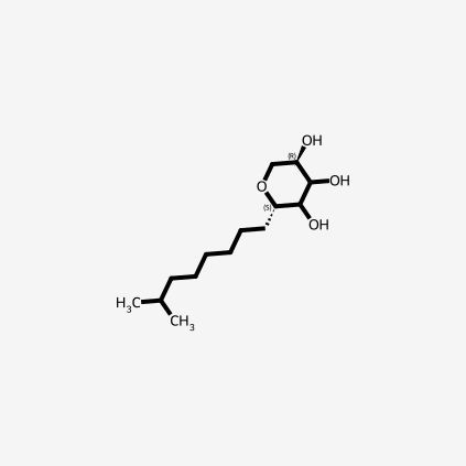 CC(C)CCCCCC[C@@H]1OC[C@@H](O)C(O)C1O